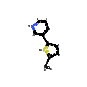 O=[N+]([O-])c1ccc(-c2cccnc2)s1